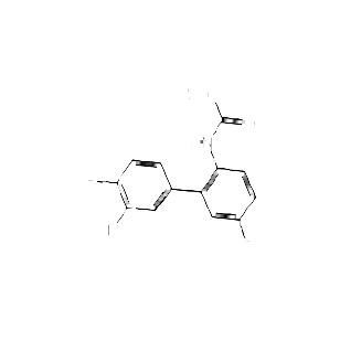 CC(=O)Nc1ccc(F)cc1-c1ccc(F)c(F)c1